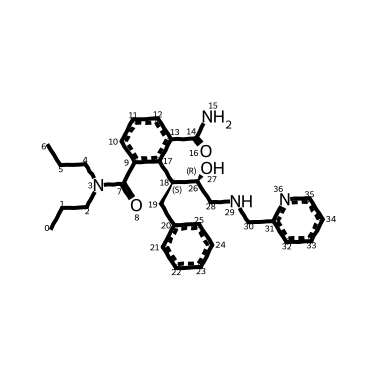 CCCN(CCC)C(=O)c1cccc(C(N)=O)c1[C@H](Cc1ccccc1)[C@@H](O)CNCc1ccccn1